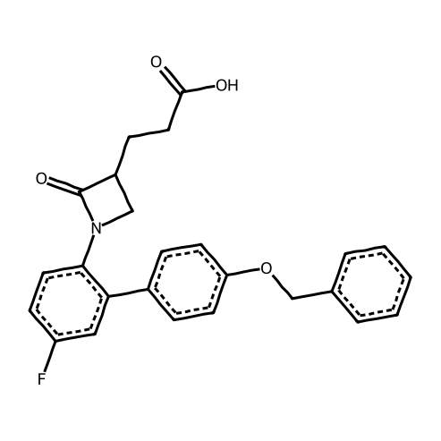 O=C(O)CCC1CN(c2ccc(F)cc2-c2ccc(OCc3ccccc3)cc2)C1=O